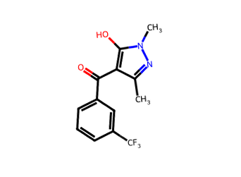 Cc1nn(C)c(O)c1C(=O)c1cccc(C(F)(F)F)c1